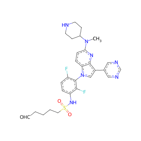 CN(c1ccc2c(n1)c(-c1cncnc1)cn2-c1c(F)ccc(NS(=O)(=O)CCCCC=O)c1F)C1CCNCC1